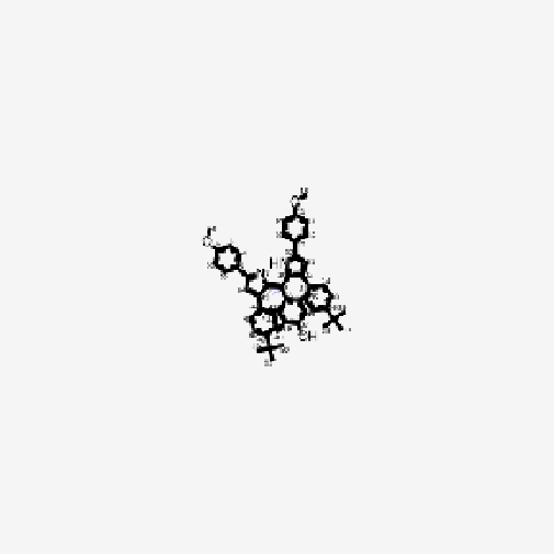 COc1ccc(C2=N/C(=C(\c3[nH]c(-c4ccc(OC)cc4)cc3-c3ccc(C(C)(C)C)cc3)c3c(C)cc(O)c(C)c3C)C(c3ccc(C(C)(C)C)cc3)=C2)cc1